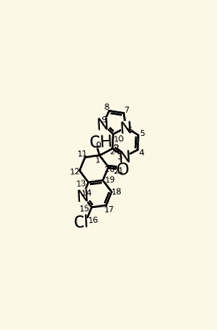 CC1(c2nccn3ccnc23)CCc2nc(Cl)ccc2C1=O